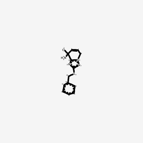 NC1(Cl)C=CCn2nc(SCc3ccccc3)nc21